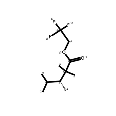 CC(C)[C@@H](C)C(C)(C)C(=O)OCC(F)(F)F